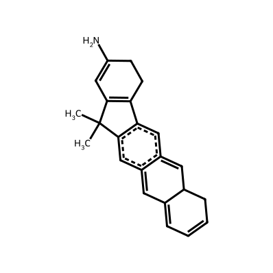 CC1(C)C2=C(CCC(N)=C2)c2cc3c(cc21)=CC1=CC=CCC1C=3